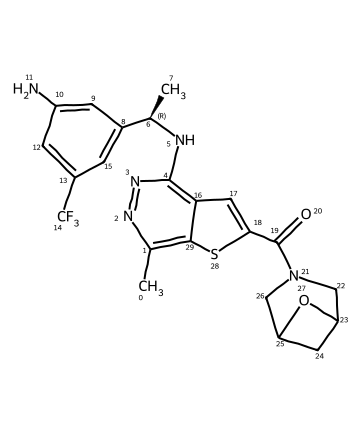 Cc1nnc(N[C@H](C)c2cc(N)cc(C(F)(F)F)c2)c2cc(C(=O)N3CC4CC(C3)O4)sc12